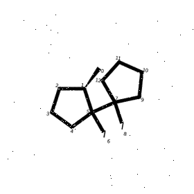 C[C@@H]1CCCC1(I)C1(I)CCCC1